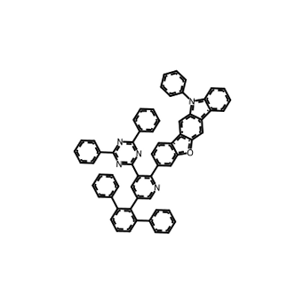 c1ccc(-c2nc(-c3ccccc3)nc(-c3cc(-c4c(-c5ccccc5)cccc4-c4ccccc4)cnc3-c3ccc4c(c3)oc3cc5c6ccccc6n(-c6ccccc6)c5cc34)n2)cc1